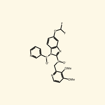 COc1ccnc(C[S+]([O-])c2nc3cc(OC(F)F)ccc3n2[S+]([O-])c2cccnc2)c1OC